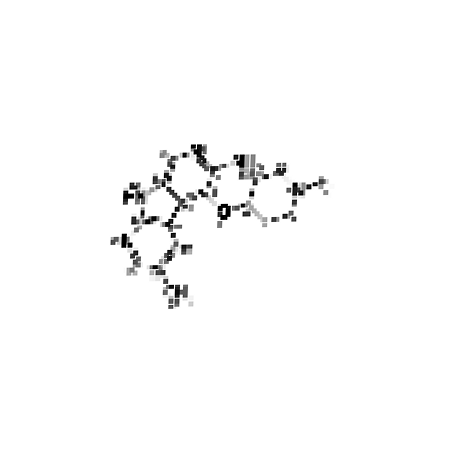 CCN1CCC(Oc2c(N)ncc3[nH]c4ncc(C)cc4c23)CC1